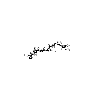 CC(CO)C(=O)NCCCN(C)CCCNC(=O)c1nc(NC(=O)CCNC(=O)c2cc(NC(=O)c3nccn3C)cn2C)cn1C